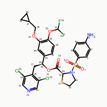 Nc1ccc(S(=O)(=O)N2CCS[C@H]2C(=O)O[C@@H](Cc2c(Cl)cncc2Cl)c2ccc(OC(F)F)c(OCC3CC3)c2)cc1